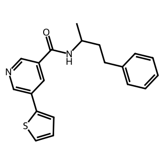 CC(CCc1ccccc1)NC(=O)c1cncc(-c2cccs2)c1